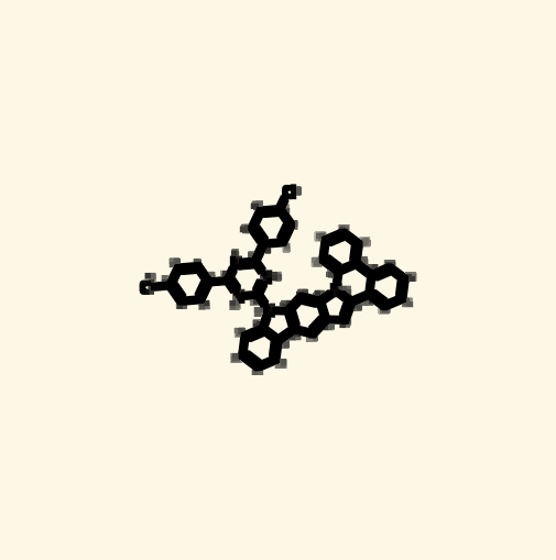 Clc1ccc(-c2nc(-c3ccc(Cl)cc3)nc(-n3c4ccccc4c4cc5cc6c7ccccc7c7ccccc7n6c5cc43)n2)cc1